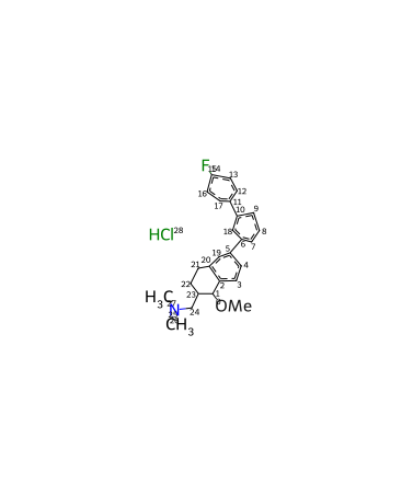 COC1c2ccc(-c3cccc(-c4ccc(F)cc4)c3)cc2CCC1CN(C)C.Cl